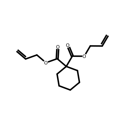 C=CCOC(=O)C1(C(=O)OCC=C)CCCCC1